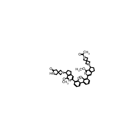 COc1nc(-c2cccc(-c3cccc(-c4cc5c(c(OC)n4)C(N4CC6(CN(C(C)=O)C6)C4)CC5)c3Cl)c2Cl)cc2c1C(N1CC3(CNC(=O)C3)C1)CC2